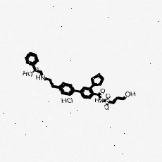 Cl.O=C(NS(=O)(=O)CCCO)c1ccc(-c2ccc(CCNC[C@@H](O)c3ccccc3)cc2)cc1C1CCCC1